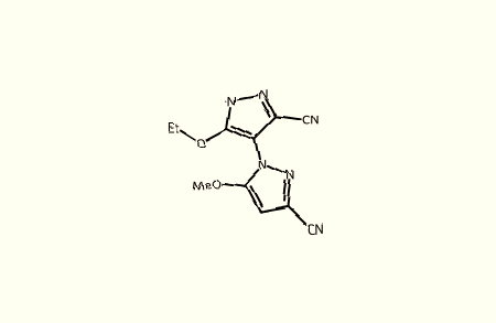 CCOC1=C(n2nc(C#N)cc2OC)C(C#N)=N[N]1